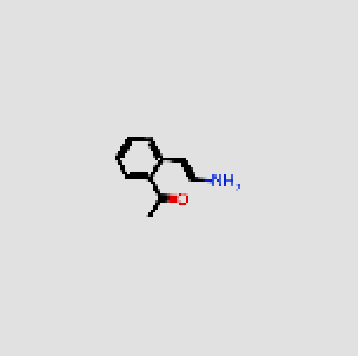 CC(=O)c1ccccc1C=CN